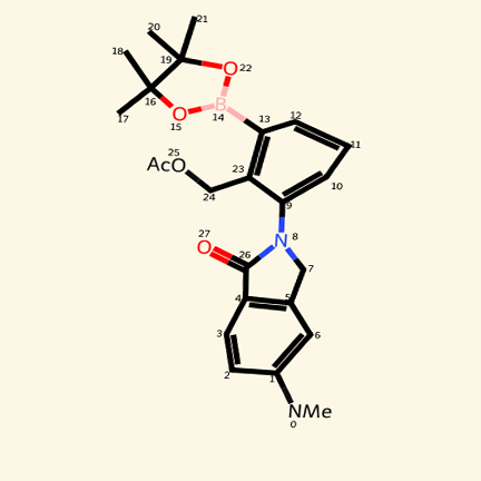 CNc1ccc2c(c1)CN(c1cccc(B3OC(C)(C)C(C)(C)O3)c1COC(C)=O)C2=O